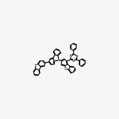 c1ccc(-c2nc(-c3ccccc3)nc(-c3cc(-n4c5ccccc5c5cc(-c6ccc7sc8ccccc8c7c6)ccc54)cc4oc5ccccc5c34)n2)cc1